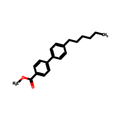 CCCCCCc1ccc(-c2ccc(C(=O)OC)cc2)cc1